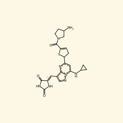 NC1CCN(C(=O)C2=CCC(c3cc(NC4CC4)n4ncc(/C=C5\NC(=O)NC5=O)c4n3)S2)C1